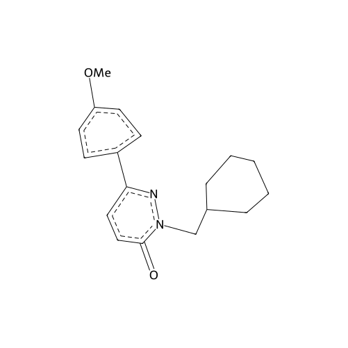 COc1ccc(-c2ccc(=O)n(CC3CCCCC3)n2)cc1